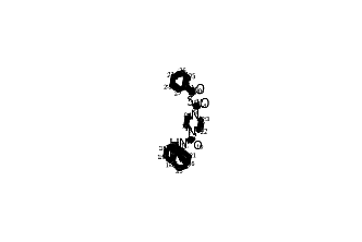 O=C(SC(=O)N1CCN(C(=O)NC23CC4CC(CC(C4)C2)C3)CC1)c1ccccc1